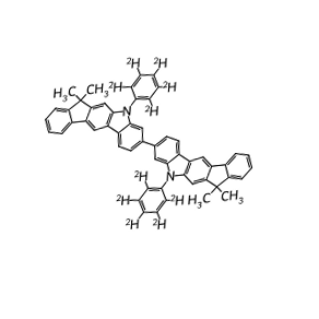 [2H]c1c([2H])c([2H])c(-n2c3cc(-c4ccc5c6cc7c(cc6n(-c6c([2H])c([2H])c([2H])c([2H])c6[2H])c5c4)C(C)(C)c4ccccc4-7)ccc3c3cc4c(cc32)C(C)(C)c2ccccc2-4)c([2H])c1[2H]